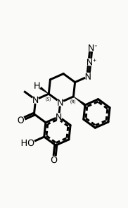 CN1C(=O)c2c(O)c(=O)ccn2N2[C@H](c3ccccc3)C(N=[N+]=[N-])CC[C@@H]12